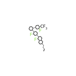 C=CCCc1ccc2c(F)c(-c3ccc(-c4ccccc4-c4ccc(C(F)(F)F)c(F)c4)c(F)c3)ccc2c1